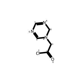 O=C(Cl)CN1C=NC=NC1